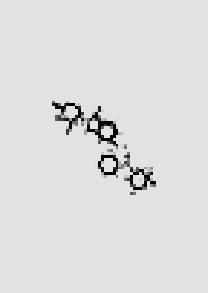 C=C1CCC(N2Cc3cc(C[C@H]4CCCC[C@@H]4N[C@@H]4CCCC(C)(C)C4)ccc3C2=O)C(=O)N1